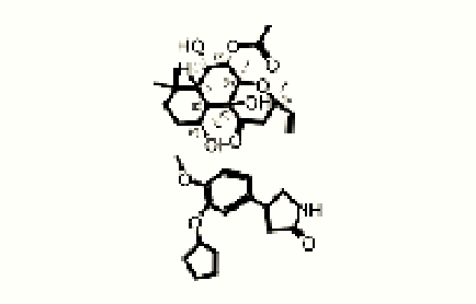 C=C[C@@]1(C)CC(=O)[C@]2(O)[C@@]3(C)[C@@H](O)CCC(C)(C)[C@@H]3[C@H](O)[C@H](OC(C)=O)[C@@]2(C)O1.COc1ccc(C2CNC(=O)C2)cc1OC1CCCC1